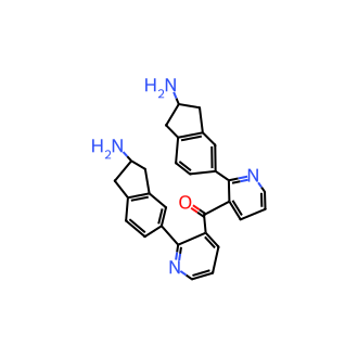 NC1Cc2ccc(-c3ncccc3C(=O)c3cccnc3-c3ccc4c(c3)CC(N)C4)cc2C1